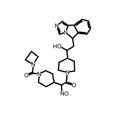 O=NC(C(=O)N1CCC(C(O)CC2c3ccccc3-c3cncn32)CC1)C1CCN(C(=O)N2CCC2)CC1